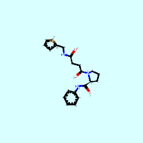 O=C(CCC(=O)N1CCC[C@H]1C(=O)Nc1ccccc1)NCc1cccs1